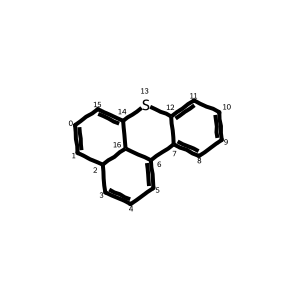 C1=CC2C=CC=C3c4ccccc4SC(=C1)C32